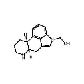 OCn1cc2c3c(cccc31)[C@H]1CCCN[C@@H]1C2